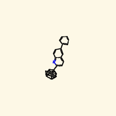 c1ccc(-c2ccc3nc([C]45[CH]6[CH]7[CH]8[CH]4[Fe]786549%10%11[CH]5[CH]4[CH]9[CH]%10[CH]5%11)ccc3c2)cc1